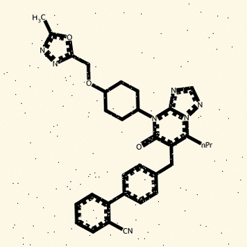 CCCc1c(Cc2ccc(-c3ccccc3C#N)cc2)c(=O)n(C2CCC(OCc3nnc(C)o3)CC2)c2ncnn12